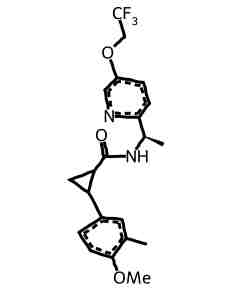 COc1ccc(C2CC2C(=O)N[C@H](C)c2ccc(OCC(F)(F)F)cn2)cc1C